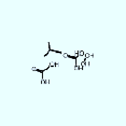 CC(C)C.O=C(O)O.O=C(O)O.OO